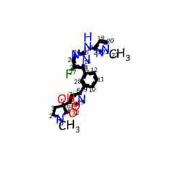 CN1CCC(O)(c2cc(-c3cccc(-c4nc(Nc5ccn(C)n5)ncc4F)c3)no2)C1=O